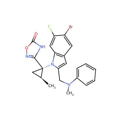 C[C@H]1C[C@]1(c1noc(=O)[nH]1)n1c(CN(C)c2ccccc2)cc2cc(Br)c(F)cc21